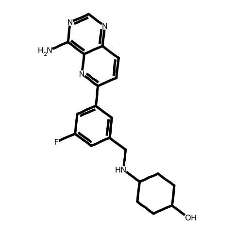 Nc1ncnc2ccc(-c3cc(F)cc(CNC4CCC(O)CC4)c3)nc12